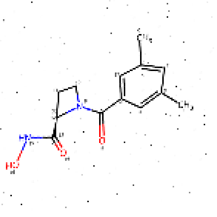 Cc1cc(C)cc(C(=O)N2CC[C@@H]2C(=O)NO)c1